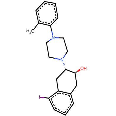 Cc1ccccc1N1CCN([C@H]2Cc3c(I)cccc3C[C@@H]2O)CC1